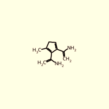 C=C(N)C1=CCC(C)=C1C(=C)N